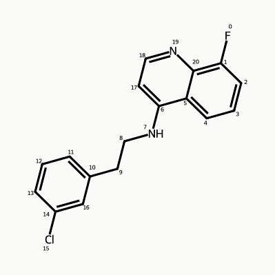 Fc1cccc2c(NCCc3cccc(Cl)c3)ccnc12